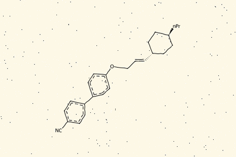 CCC[C@H]1CC[C@H](/C=C/COc2ccc(-c3ccc(C#N)cc3)cc2)CC1